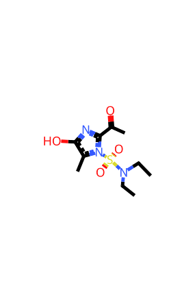 CCN(CC)S(=O)(=O)n1c(C(C)=O)nc(O)c1C